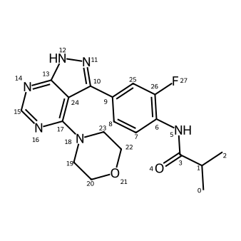 CC(C)C(=O)Nc1ccc(-c2n[nH]c3ncnc(N4CCOCC4)c23)cc1F